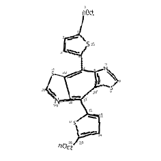 CCCCCCCCc1ccc(-c2c3ncsc3c(-c3ccc(CCCCCCCC)s3)c3ncsc23)s1